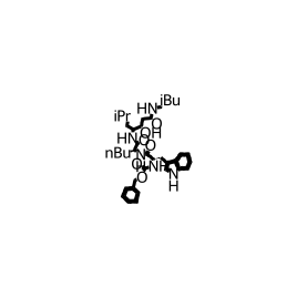 CCCC[C@H](NC(=O)[C@H](Cc1c[nH]c2ccccc12)NC(=O)OCc1ccccc1)C(=O)NC(CC(C)C)C(O)CC(=O)NCC(C)CC